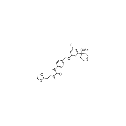 COC1(c2cc(F)cc(OCc3ccc(N(C)C(=O)N(C)CCC4OCCO4)cc3)c2)CCOCC1